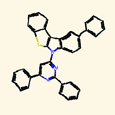 c1ccc(-c2ccc3c(c2)c2c4ccccc4sc2n3-c2cc(-c3ccccc3)nc(-c3ccccc3)n2)cc1